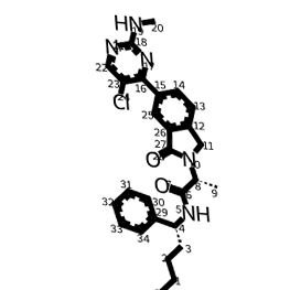 CCCC[C@@H](NC(=O)[C@@H](C)N1Cc2ccc(-c3nc(NC)ncc3Cl)cc2C1=O)c1ccccc1